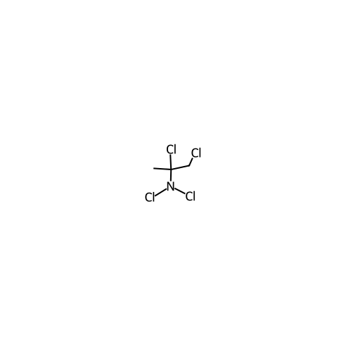 CC(Cl)(CCl)N(Cl)Cl